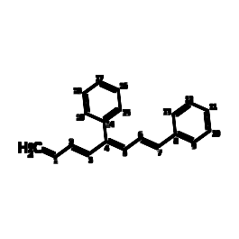 C=CC=CC(=CC=Cc1ccccc1)c1ccccc1